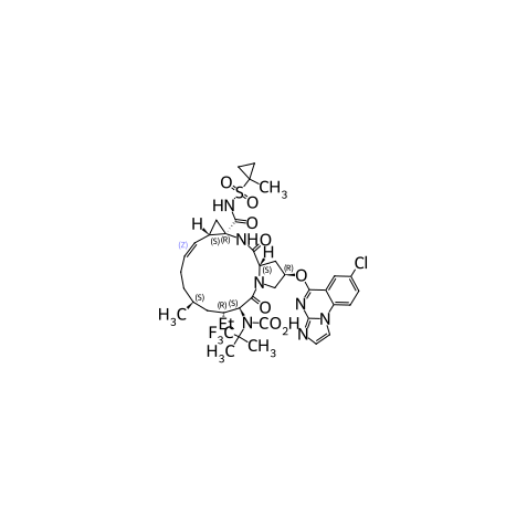 CC[C@@H]1C[C@@H](C)CC/C=C\[C@@H]2C[C@@]2(C(=O)NS(=O)(=O)C2(C)CC2)NC(=O)[C@@H]2C[C@@H](Oc3nc4nccn4c4ccc(Cl)cc34)CN2C(=O)[C@H]1N(C(=O)O)C(C)(C)C(F)(F)F